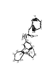 O=C(Cc1ccccc1)Nc1cc2c3c(c1)c1c(n3CC2)CCCCC1